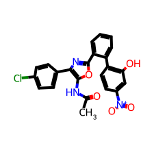 CC(=O)Nc1oc(-c2ccccc2-c2ccc([N+](=O)[O-])cc2O)nc1-c1ccc(Cl)cc1